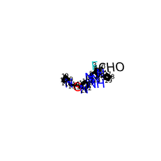 O=Cc1c(F)c2cnc(Nc3ccc(OCCN4CCCC4)nc3)nc2n1C1CCCC1